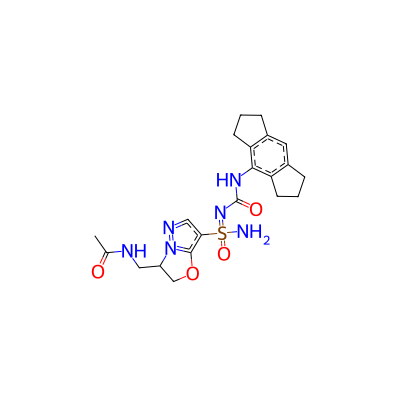 CC(=O)NCC1COc2c(S(N)(=O)=NC(=O)Nc3c4c(cc5c3CCC5)CCC4)cnn21